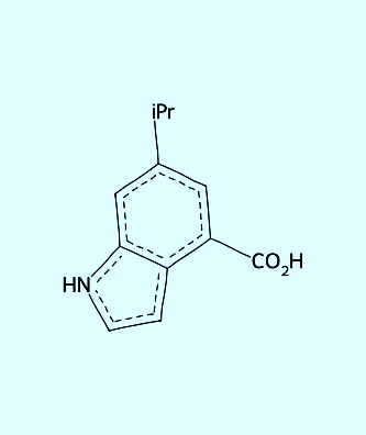 CC(C)c1cc(C(=O)O)c2cc[nH]c2c1